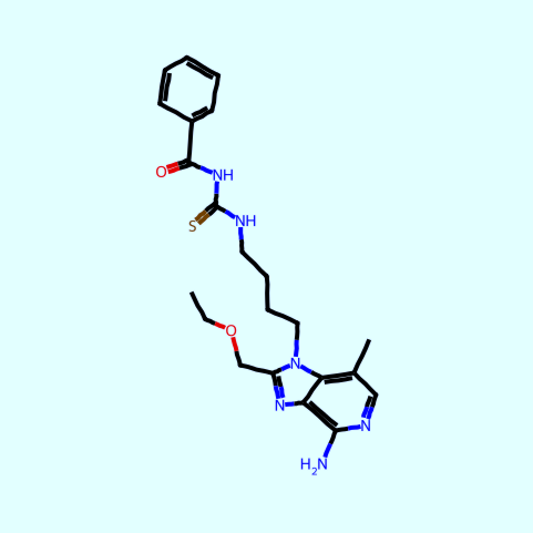 CCOCc1nc2c(N)ncc(C)c2n1CCCCNC(=S)NC(=O)c1ccccc1